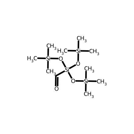 C[Si](C)(C)O[Si](C=O)(O[Si](C)(C)C)O[Si](C)(C)C